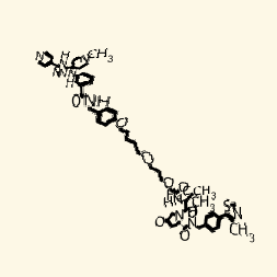 Cc1ncsc1-c1ccc(CNC(=O)[C@@H]2CC(=O)CN2C(=O)[C@@H](NC(=O)COCCCOCCCCCOc2ccc(CNC(=O)c3cccc(NC4(c5nnc(-c6ccncc6)[nH]5)CCN(C)CC4)c3)cc2)C(C)(C)C)cc1